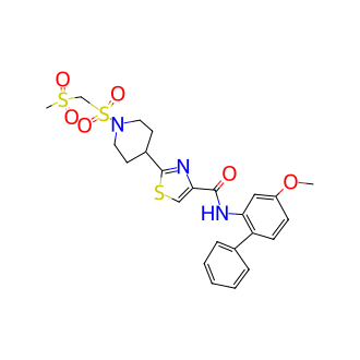 COc1ccc(-c2ccccc2)c(NC(=O)c2csc(C3CCN(S(=O)(=O)CS(C)(=O)=O)CC3)n2)c1